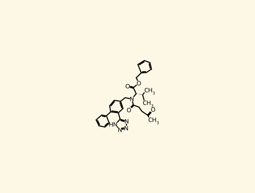 CC(=O)CCC(=O)N(Cc1ccc(-c2ccccc2)c(-c2nnn[nH]2)c1)[C@H](C(=O)OCc1ccccc1)C(C)C